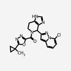 CC1(c2nnc(C(=O)N3CCc4[nH]cnc4C3c3cc4cccc(Cl)n4n3)o2)CC1